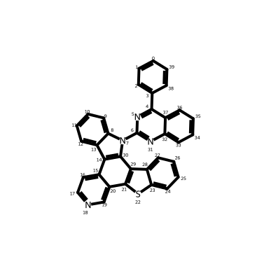 c1ccc(-c2nc(-n3c4ccccc4c4c5ccncc5c5sc6ccccc6c5c43)nc3ccccc23)cc1